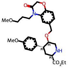 CCOC(=O)[C@H]1C[C@H](c2ccc(OC)cc2)[C@@H](OCc2ccc3c(c2)N(CCCOC)C(=O)CO3)CN1